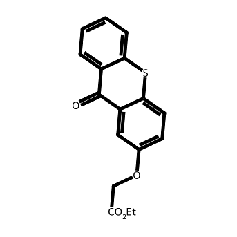 CCOC(=O)COc1ccc2sc3ccccc3c(=O)c2c1